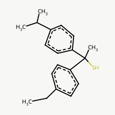 CCc1ccc(C(C)(S)c2ccc(C(C)C)cc2)cc1